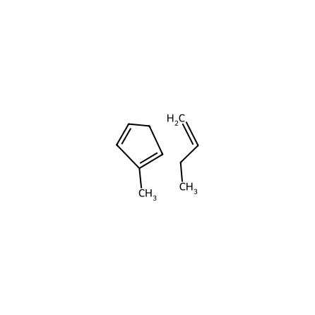 C=CCC.CC1=CCC=C1